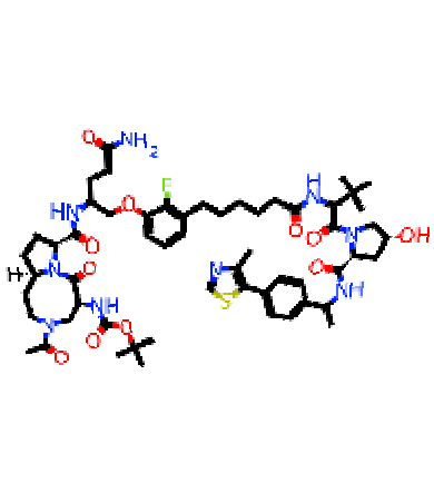 CC(=O)N1CC[C@H]2CC[C@@H](C(=O)NC(CCC(N)=O)COc3cccc(CCCCCC(=O)NC(C(=O)N4C[C@H](O)C[C@H]4C(=O)NC(C)c4ccc(-c5scnc5C)cc4)C(C)(C)C)c3F)N2C(=O)[C@@H](NC(=O)OC(C)(C)C)C1